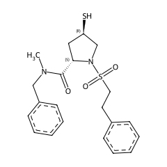 CN(Cc1ccccc1)C(=O)[C@@H]1C[C@@H](S)CN1S(=O)(=O)CCc1ccccc1